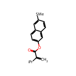 C=C(C(=O)Oc1ccc2cc(SC)ccc2c1)C(C)C